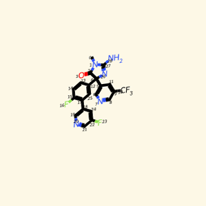 CN1C(=O)C(c2cncc(C(F)(F)F)c2)(c2ccc(F)c(-c3cncc(F)c3)c2)N=C1N